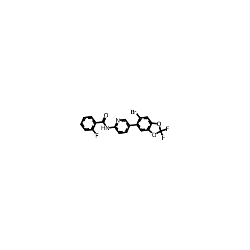 O=C(Nc1ccc(-c2cc3c(cc2Br)OC(F)(F)O3)cn1)c1ccccc1F